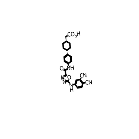 N#Cc1ccc(Nc2nnc(C(=O)Nc3ccc([C@H]4CC[C@H](CC(=O)O)CC4)cc3)o2)cc1C#N